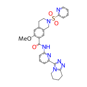 COc1cc2c(cc1C(=O)Nc1cccc(-c3nnc4n3CCCC4)n1)CN(S(=O)(=O)c1ccccn1)CC2